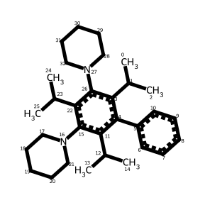 CC(C)c1c(-c2ccccc2)c(C(C)C)c(N2CCCCC2)c(C(C)C)c1N1CCCCC1